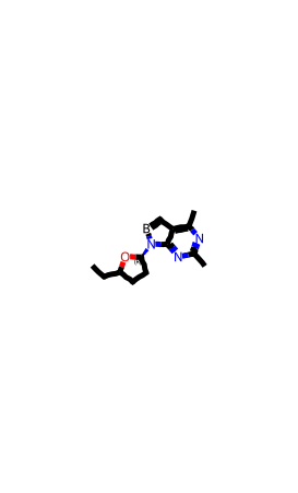 CCC1CC[C@H](n2bcc3c(C)nc(C)nc32)O1